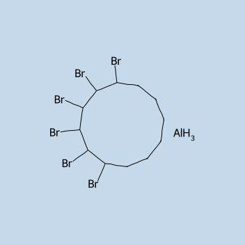 BrC1CCCCCCC(Br)C(Br)C(Br)C(Br)C1Br.[AlH3]